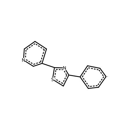 [c]1ccc(-c2csc(-c3cccnc3)n2)cc1